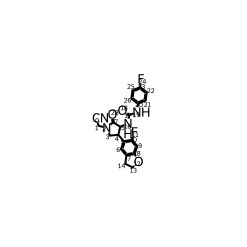 N#CCN1CC(c2cc3c(cc2F)OCC3)C(NC(=O)Nc2ccc(F)cc2)C1=O